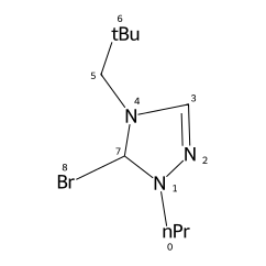 CCCN1N=CN(CC(C)(C)C)C1Br